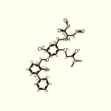 CN(C)C(=O)COc1cc(OCc2cccc(-c3ccccc3)c2Br)c(Cl)cc1CNC(CN=O)C(=O)N=O